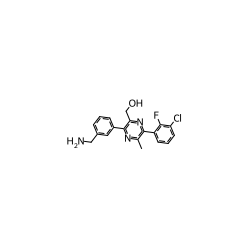 Cc1nc(-c2cccc(CN)c2)c(CO)nc1-c1cccc(Cl)c1F